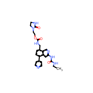 CCNC(=O)Nc1cc2c(-c3ccncc3)ccc(CNC(=O)OCCN3CCNC3=O)c2cn1